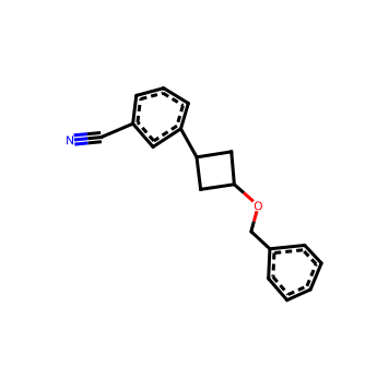 N#Cc1cccc(C2CC(OCc3ccccc3)C2)c1